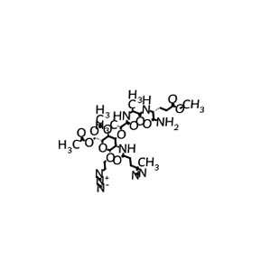 COC(=O)CC[C@@H](NC(=O)[C@H](C)NC(=O)[C@@H](C)O[C@@H]1[C@@H](NC(=O)CCC2(C)N=N2)[C@H](OCCN=[N+]=[N-])O[C@H](COC(C)=O)[C@H]1OC(C)=O)C(N)=O